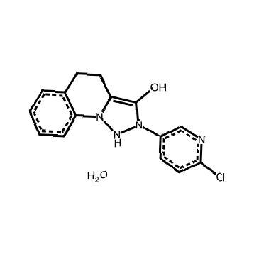 O.OC1=C2CCc3ccccc3N2NN1c1ccc(Cl)nc1